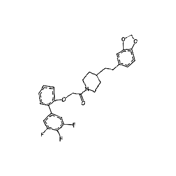 O=C(COc1ccccc1-c1cc(F)c(F)c(F)c1)N1CCC(CCc2ccc3c(c2)OCO3)CC1